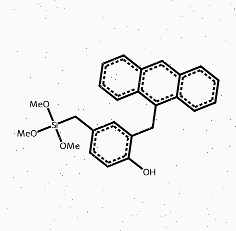 CO[Si](Cc1ccc(O)c(Cc2c3ccccc3cc3ccccc23)c1)(OC)OC